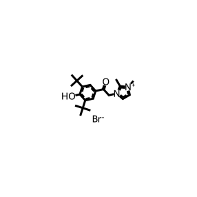 Cc1n(CC(=O)c2cc(C(C)(C)C)c(O)c(C(C)(C)C)c2)cc[n+]1C.[Br-]